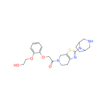 O=C(COc1ccccc1OCCO)N1CCc2nc(N3C4CCC3CNC4)sc2C1